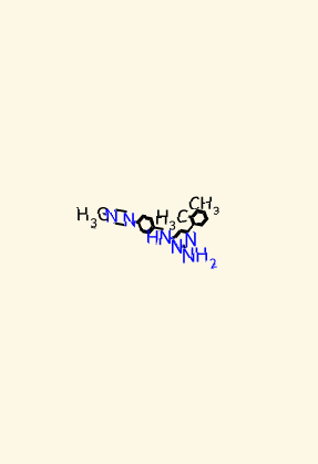 Cc1cccc(-c2cc(NCc3ccc(N4CCN(C)CC4)cc3)nc(N)n2)c1C